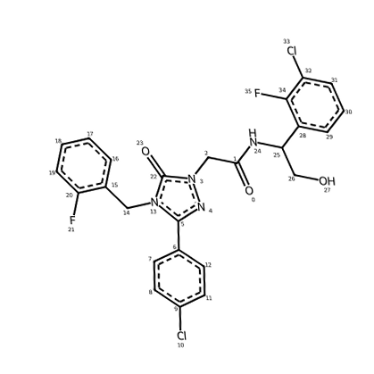 O=C(Cn1nc(-c2ccc(Cl)cc2)n(Cc2ccccc2F)c1=O)NC(CO)c1cccc(Cl)c1F